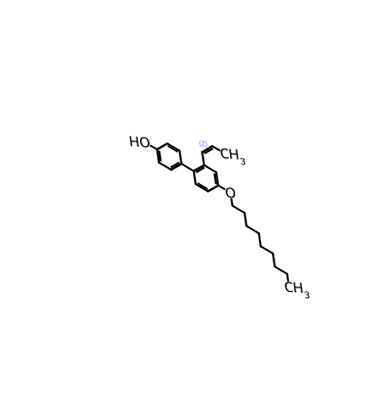 C/C=C\c1cc(OCCCCCCCCC)ccc1-c1ccc(O)cc1